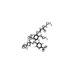 CCCCC1(CC)CN(c2ccc([N+](=O)[O-])cc2)c2cc(SC)c(O/C=C/C(=O)OCC)cc2S(=O)(=O)C1